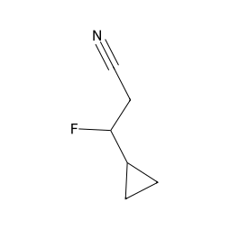 N#CCC(F)C1CC1